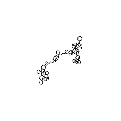 CS(=O)(=O)N1CCC(C(=O)N[C@@H](CCOCCCC(=O)N2CCN(CCCOc3ccc4c(c3)C(=O)N(C3CCC(=O)NC3=O)C4=O)CC2)C(=O)NC2NC(c3ccccc3)CS2)C1